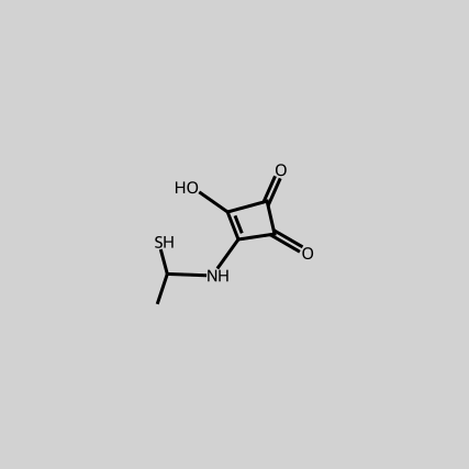 CC(S)Nc1c(O)c(=O)c1=O